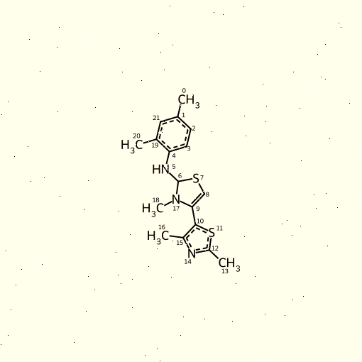 Cc1ccc(NC2SC=C(c3sc(C)nc3C)N2C)c(C)c1